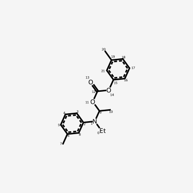 CCN(c1cccc(C)c1)C(C)OC(=O)Oc1cccc(C)c1